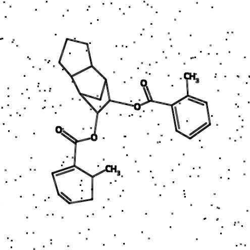 Cc1ccccc1C(=O)OC1C2CC(C3CCCC32)C1OC(=O)C1=CC=CCC1C